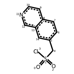 O=S(=O)(Cl)Cc1ccc2ccncc2c1